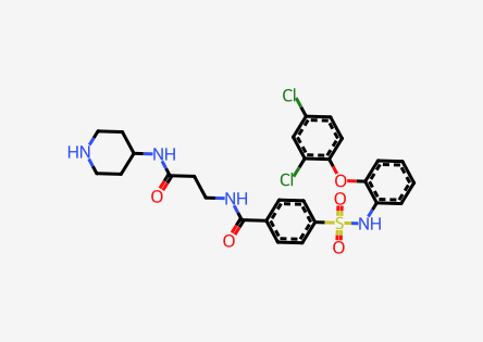 O=C(CCNC(=O)c1ccc(S(=O)(=O)Nc2ccccc2Oc2ccc(Cl)cc2Cl)cc1)NC1CCNCC1